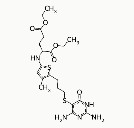 CCOC(=O)CC[C@H](Nc1cc(C)c(CCCSc2c(N)nc(N)[nH]c2=O)s1)C(=O)OCC